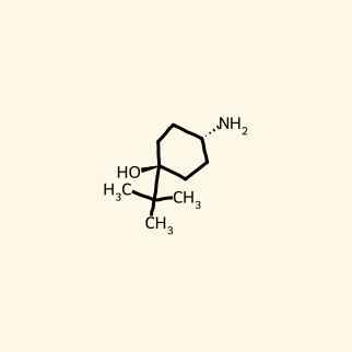 CC(C)(C)[C@]1(O)CC[C@H](N)CC1